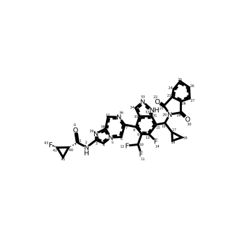 O=C(Nc1cn2cc(-c3c(C(F)F)c(F)c(C(C4CC4)N4C(=O)c5ccccc5C4=O)c4[nH]ncc34)ncc2n1)[C@@H]1C[C@@H]1F